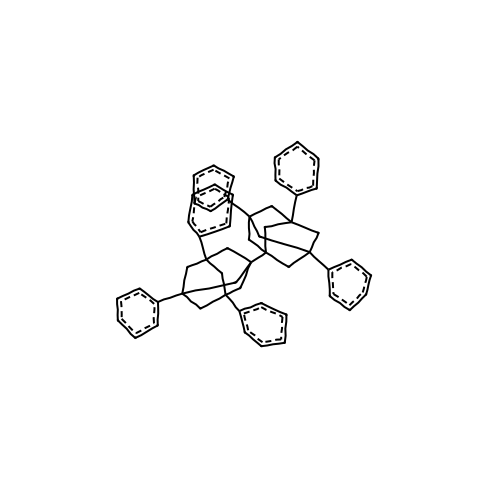 c1ccc(C23CC4(c5ccccc5)CC(c5ccccc5)(C2)CC(C25CC6(c7ccccc7)CC(c7ccccc7)(CC(c7ccccc7)(C6)C2)C5)(C3)C4)cc1